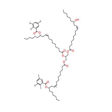 CCCCCCC(O)C/C=C\CCCCCCCC(=O)OCC(COC(=O)CCCCCCC/C=C\CC(CCCCCC)OC(=O)c1cc(I)cc(I)c1I)OC(=O)CCCCCCC/C=C\CC(CCCCCC)OC(=O)c1cc(I)cc(I)c1I